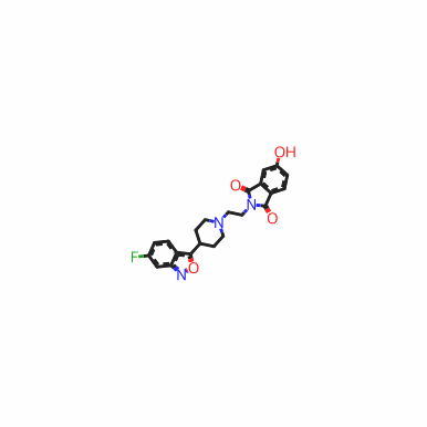 O=C1c2ccc(O)cc2C(=O)N1CCN1CCC(c2onc3cc(F)ccc23)CC1